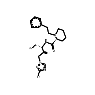 CCc1nnn(CC(=O)[C@H](CC(C)C)NC(=O)[C@@H]2CCCCN2CCc2ccccc2)n1